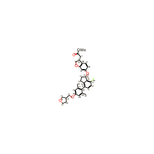 COC(=O)C[C@@H]1COc2cc(O[C@@H]3CCc4c(-c5c(C)cc(OCC6CCOC6)cc5C)ccc(F)c43)ccc21